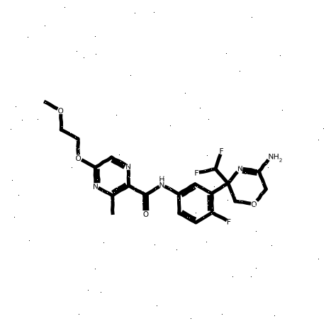 COCCOc1cnc(C(=O)Nc2ccc(F)c(C3(C(F)F)COCC(N)=N3)c2)c(C)n1